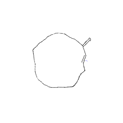 O=C1/C=C/CCCCCCCCCCCCCCC1